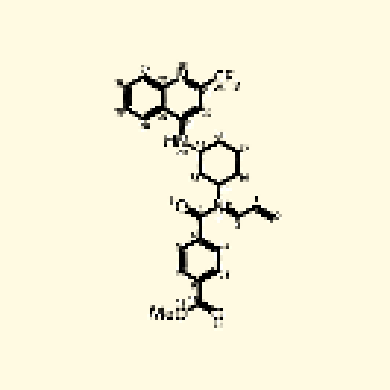 C=C/C=[N+](/C(=O)c1ccc(C(=O)OC)cc1)[C@@H]1CCC[C@H](Nc2cc(C(F)(F)F)nc3ccccc23)C1